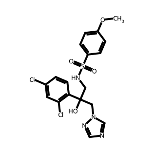 COc1ccc(S(=O)(=O)NCC(O)(Cn2cncn2)c2ccc(Cl)cc2Cl)cc1